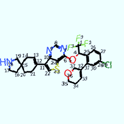 FC(F)(F)[C@H](Oc1ncnc2c(C3=CCC4(CCNC4)CC3)csc12)c1ccc(Cl)cc1C1=CCCOC1